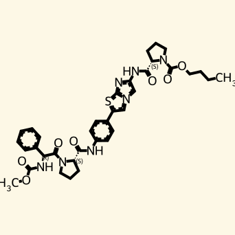 CCCCOC(=O)N1CCC[C@H]1C(=O)Nc1cn2cc(-c3ccc(NC(=O)[C@@H]4CCCN4C(=O)[C@H](NC(=O)OC)c4ccccc4)cc3)sc2n1